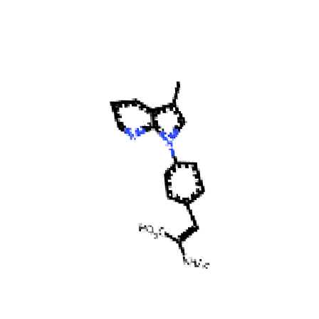 CC(=O)NC(=Cc1ccc(-n2cc(C)c3cccnc32)cc1)C(=O)O